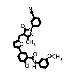 COc1cccc(NC(=O)c2cc(-c3ccc(CC4C(=O)N(c5cccc(C#N)c5)N=C4C)o3)ccc2Cl)c1